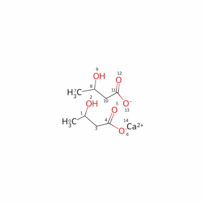 CC(O)CC(=O)[O-].CC(O)CC(=O)[O-].[Ca+2]